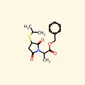 CC(C)SC1CC(=O)N(C(C)C(=O)OCc2ccccc2)C1=O